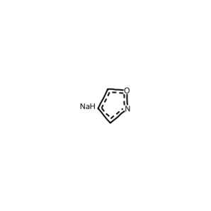 [NaH].c1cnoc1